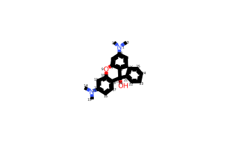 CN(C)c1ccc2c(c1)Oc1cc(N(C)C)ccc1C2(O)c1ccccc1